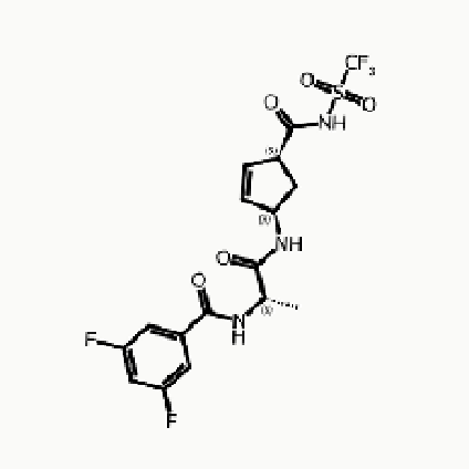 C[C@H](NC(=O)c1cc(F)cc(F)c1)C(=O)N[C@H]1C=C[C@@H](C(=O)NS(=O)(=O)C(F)(F)F)C1